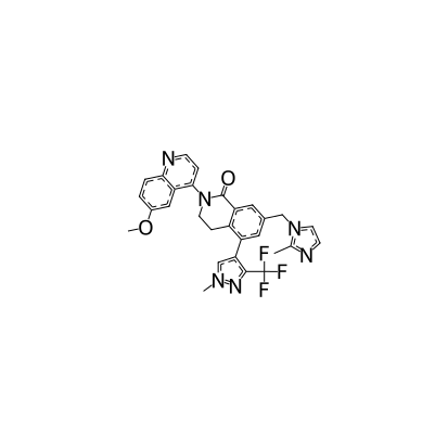 COc1ccc2nccc(N3CCc4c(cc(Cn5ccnc5C)cc4-c4cn(C)nc4C(F)(F)F)C3=O)c2c1